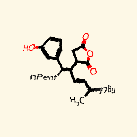 CCCCCC(c1cccc(O)c1)C(C=CC(C)CCCC)C1CC(=O)OC1=O